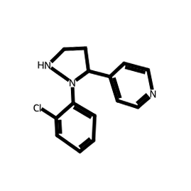 Clc1ccccc1N1NCCC1c1ccncc1